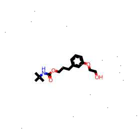 CC(C)(C)NC(=O)OCCCc1cccc(OCCO)c1